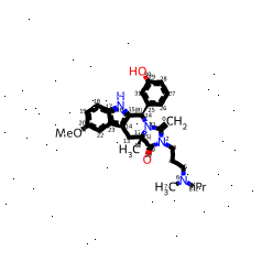 C=C1N(CCCN(C)C(C)C)C(=O)[C@]2(C)Cc3c([nH]c4ccc(OC)cc34)[C@@H](c3cccc(O)c3)N12